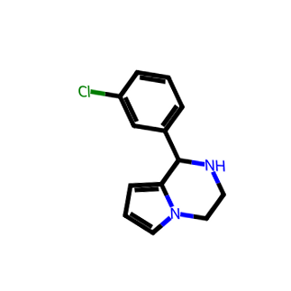 Clc1cccc(C2NCCn3cccc32)c1